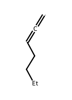 [CH]=C=CCCC[CH2]